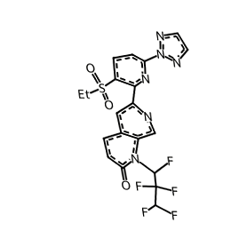 CCS(=O)(=O)c1ccc(-n2nccn2)nc1-c1cc2ccc(=O)n(C(F)C(F)(F)C(F)F)c2cn1